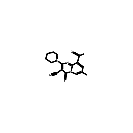 CC(=O)c1cc(C)cn2c(=O)c(C#N)c(N3CCCCC3)nc12